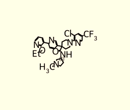 CCOc1ncccc1-c1ccc(C2(C(=O)N[C@H]3CCN(C)C3)CCN(c3ncc(C(F)(F)F)cc3Cl)CC2)cn1